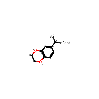 CCCCCC(CCCC)c1ccc2c(c1)OCCO2